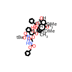 CO[C@H]1C(=O)[C@]2(C)[C@@H](OC)C[C@H]3OC[C@@]3(OC(C)=O)[C@H]2[C@H](OC(=O)c2ccccc2)[C@]2(O)C[C@H](OC(=O)[C@H](OC(=O)CNC(=O)OCc3ccccc3)[C@@H](NC(=O)OC(C)(C)C)c3ccccc3)C(C)=C1C2(C)C